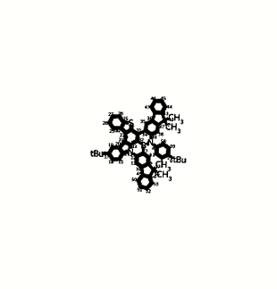 CC(C)(C)c1ccc(N2B3c4cc5c(cc4-n4c6ccc(C(C)(C)C)cc6c6c7c(sc8ccccc87)c(c3c64)-c3cc4c(cc32)C(C)(C)c2ccccc2-4)-c2ccccc2C5(C)C)cc1